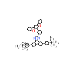 CC(C)(C)c1ccc(-c2ccc3c4ccc(-c5ccc(C(C)(C)C)cc5)cc4c4nc(-c5cccc(-c6c7oc8ccccc8c7cc7c6oc6ccccc67)c5)cnc4c3c2)cc1